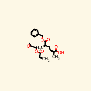 C=C(CC=C(C)C(=O)O)C(=O)OCc1ccccc1.C=CC(=O)OCC1CO1